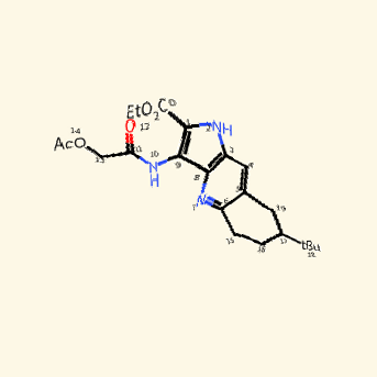 CCOC(=O)c1[nH]c2cc3c(nc2c1NC(=O)COC(C)=O)CCC(C(C)(C)C)C3